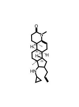 C=CCC1C[C@H]2[C@@H]3CC=C4N(C)C(=O)CC[C@]4(C)[C@@H]3CC[C@]2(C)C1NC1CC1